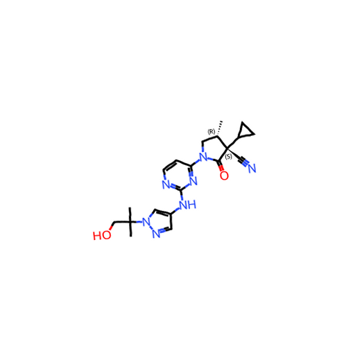 C[C@H]1CN(c2ccnc(Nc3cnn(C(C)(C)CO)c3)n2)C(=O)[C@@]1(C#N)C1CC1